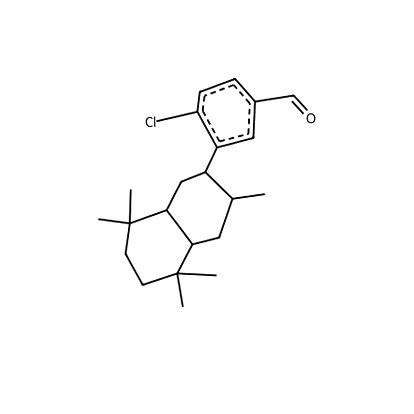 CC1CC2C(CC1c1cc(C=O)ccc1Cl)C(C)(C)CCC2(C)C